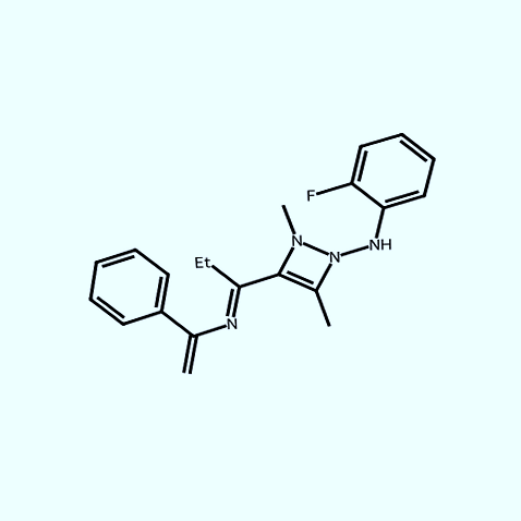 C=C(/N=C(\CC)c1c(C)n(Nc2ccccc2F)n1C)c1ccccc1